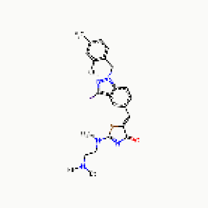 CCN(CC)CCN(C)C1=NC(=O)C(=Cc2ccc3c(c2)c(I)nn3Cc2ccc(C(F)(F)F)cc2C(F)(F)F)S1